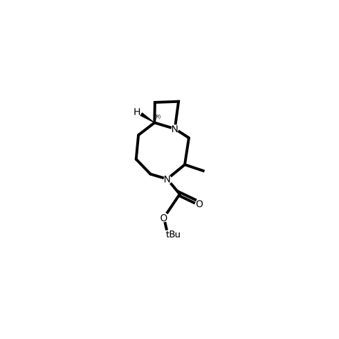 CC1CN2CC[C@H]2CCCN1C(=O)OC(C)(C)C